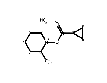 CC1CCCCN1OC(=O)C1CC1.Cl